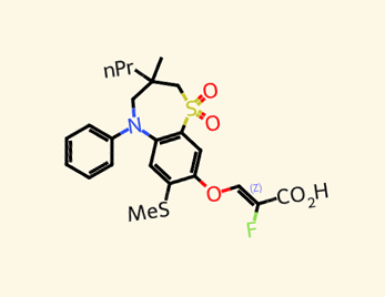 CCCC1(C)CN(c2ccccc2)c2cc(SC)c(O/C=C(\F)C(=O)O)cc2S(=O)(=O)C1